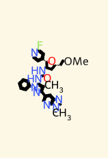 COCC[C@@H]1C[C@@H](NC(=O)Nc2c(C)c(-c3cnc4c(c3)ncn4C)nn2-c2ccccc2)[C@H](c2ccnc(F)c2)O1